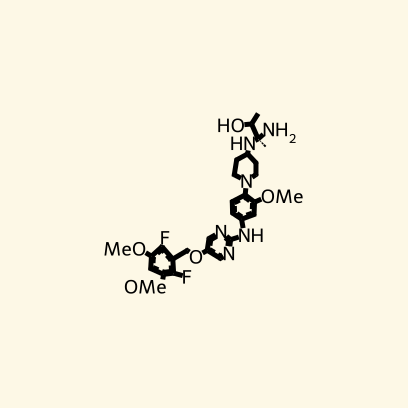 COc1cc(Nc2ncc(OCc3c(F)c(OC)cc(OC)c3F)cn2)ccc1N1CCC(N[C@](C)(N)C(C)O)CC1